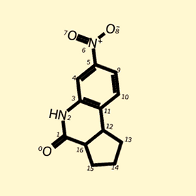 O=C1Nc2cc([N+](=O)[O-])ccc2C2CCCC12